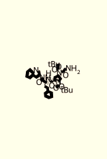 CC(C)(C)OC(=O)N1C[C@H](N(C(=O)CN)C(=O)OC(C)(C)C)C[C@H]1C(=O)N[C@H](CCc1ccccc1)C(=O)Nc1cnc2ccccc2c1